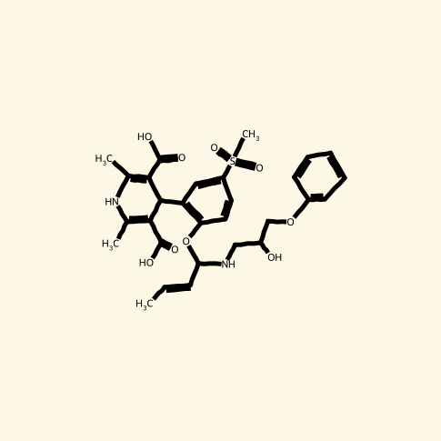 C/C=C/C(NCC(O)COc1ccccc1)Oc1ccc(S(C)(=O)=O)cc1C1C(C(=O)O)=C(C)NC(C)=C1C(=O)O